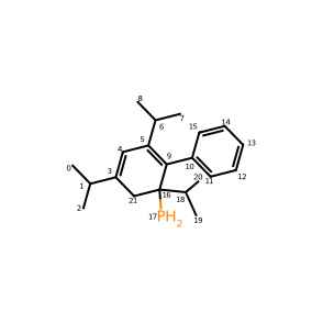 CC(C)C1=CC(C(C)C)=C(c2ccccc2)C(P)(C(C)C)C1